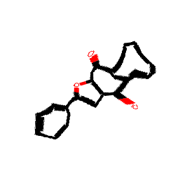 O=C1c2ccccc2C(=O)c2oc(-c3ccccc3)cc21